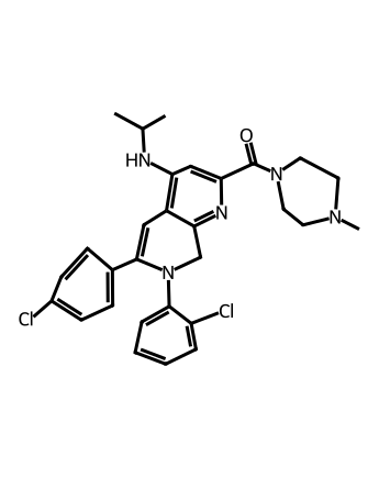 CC(C)Nc1cc(C(=O)N2CCN(C)CC2)nc2c1C=C(c1ccc(Cl)cc1)N(c1ccccc1Cl)C2